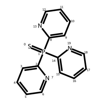 S=P(c1ccccn1)(c1ccccn1)c1ccccn1